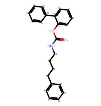 O=C(NCCCCc1ccccc1)Oc1ccccc1-c1ccccc1